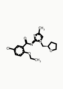 CCOc1ccc(Cl)cc1C(=O)/N=c1\sc(C)cn1C[C@H]1CCCO1